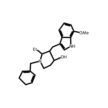 CCC1C(Cc2c[nH]c3c(OC)cccc23)C(O)CCN1CC1=CCCC=C1